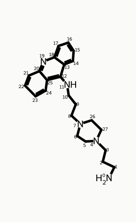 NCCCN1CCN(CCCNc2c3ccccc3nc3ccccc23)CC1